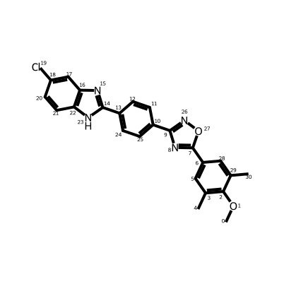 COc1c(C)cc(-c2nc(-c3ccc(-c4nc5cc(Cl)ccc5[nH]4)cc3)no2)cc1C